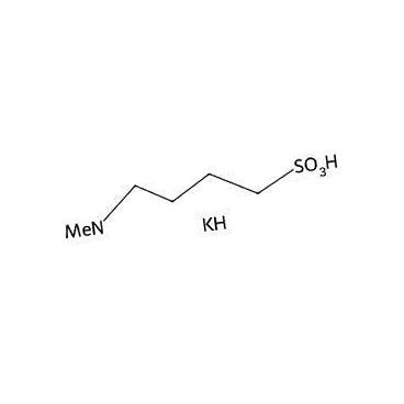 CNCCCCS(=O)(=O)O.[KH]